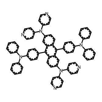 c1ccc(N(c2ccccc2)c2ccc(-c3c4ccc(N(c5ccncc5)c5ccncc5)cc4c(-c4ccc(N(c5ccccc5)c5ccccc5)cc4)c4ccc(N(c5ccncc5)c5ccncc5)cc34)cc2)cc1